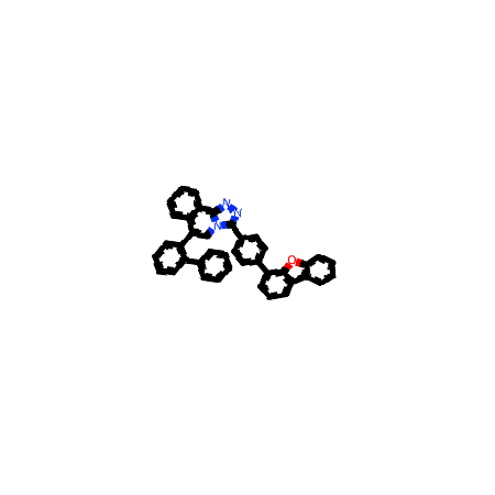 c1ccc(-c2ccccc2-c2cn3c(-c4ccc(-c5cccc6c5oc5ccccc56)cc4)nnc3c3ccccc23)cc1